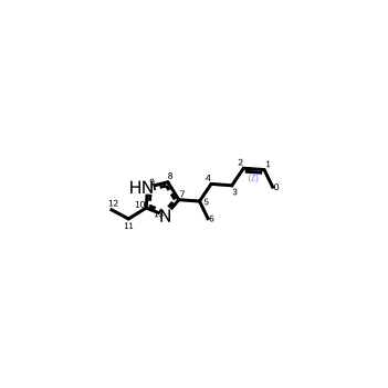 C/C=C\CCC(C)c1c[nH]c(CC)n1